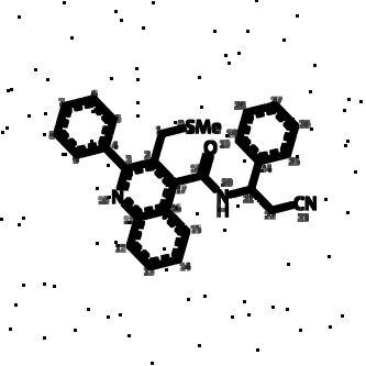 CSCc1c(-c2ccccc2)nc2ccccc2c1C(=O)NC(CC#N)c1ccccc1